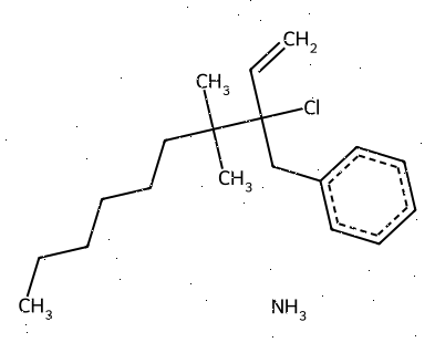 C=CC(Cl)(Cc1ccccc1)C(C)(C)CCCCCC.N